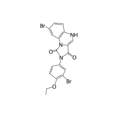 CCOc1ccc(-n2c(=O)c3c[nH]c4ccc(Br)cc4n-3c2=O)cc1Br